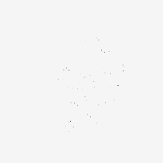 CN1C(=O)C(c2ccnc(C(F)F)c2)(c2ccc(O)c(-c3cc[nH]n3)c2)N=C1N